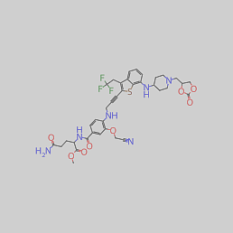 COC(=O)C(CCC(N)=O)NC(=O)c1ccc(NCC#Cc2sc3c(NC4CCN(CC5COC(=O)O5)CC4)cccc3c2CC(F)(F)F)c(OCC#N)c1